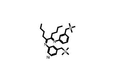 CCCCC(=Nc1cccc(C[Si](C)(C)C)c1)C(CCCC)=Nc1cccc(C[Si](C)(C)C)c1.[Ni]